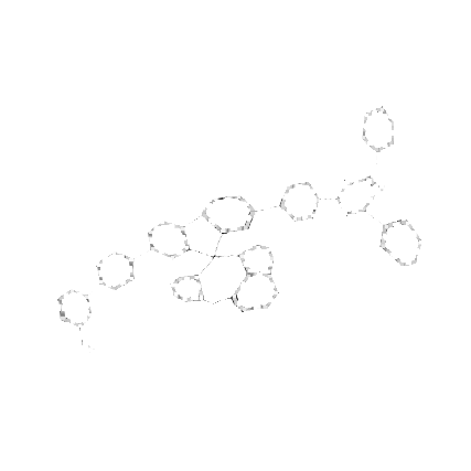 N#Cc1cccc(-c2ccc(-c3ccc4c(c3)C3(c5cc(-c6ccc(-c7nc(-c8ccccc8)nc(-c8ccccc8)n7)cc6)ccc5-4)c4ccccc4-c4cccc5cccc3c45)cc2)c1